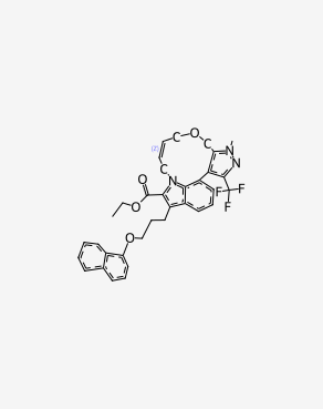 CCOC(=O)c1c(CCCOc2cccc3ccccc23)c2cccc3c2n1C/C=C\COCc1c-3c(C(F)(F)F)nn1C